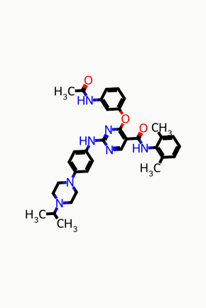 CC(=O)Nc1cccc(Oc2nc(Nc3ccc(N4CCN(C(C)C)CC4)cc3)ncc2C(=O)Nc2c(C)cccc2C)c1